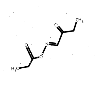 CCC(=O)C=NOC(=O)CC